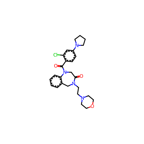 O=C1CN(C(=O)c2ccc(N3CCCC3)cc2Cl)c2ccccc2CN1CCN1CCOCC1